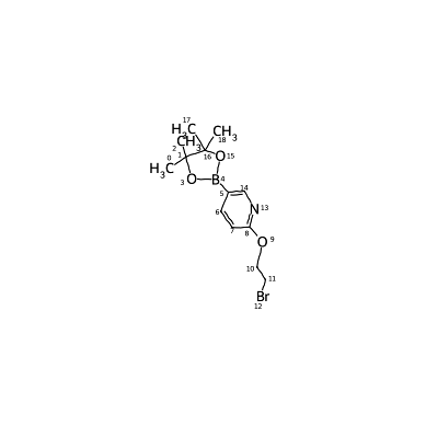 CC1(C)OB(c2ccc(OCCBr)nc2)OC1(C)C